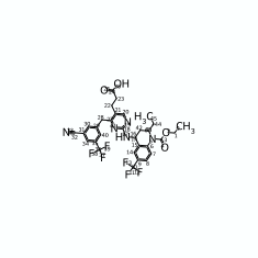 CCOC(=O)N1c2ccc(C(F)(F)F)cc2[C@@H](Nc2ncc(CCC(=O)O)c(Cc3cc(C#N)cc(C(F)(F)F)c3)n2)C[C@H]1CC